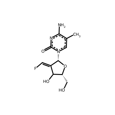 Cc1cn([C@@H]2O[C@H](CO)C(O)/C2=C\F)c(=O)nc1N